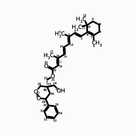 CC(C=CC1=C(C)CCCC1(C)C)=CC=C/C(C)=C/C(=O)OC[C@@]1(CO)COOC(c2ccccc2)C1